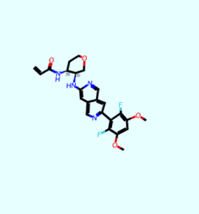 C=CC(=O)N[C@H]1CCOC[C@H]1Nc1cc2cnc(-c3c(F)c(OC)cc(OC)c3F)cc2cn1